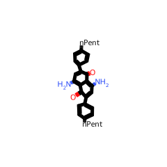 CCCCCc1ccc(C2=CC(N)=C3C(=O)C(c4ccc(CCCCC)cc4)=CC(N)=C3C2=O)cc1